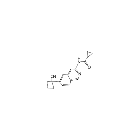 N#CC1(c2ccc3cnc(NC(=O)C4CC4)cc3c2)CCC1